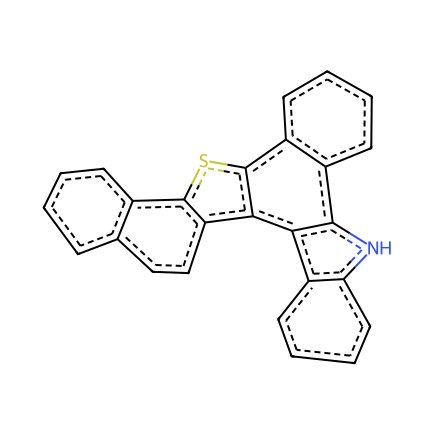 c1ccc2c(c1)ccc1c2sc2c3ccccc3c3[nH]c4ccccc4c3c12